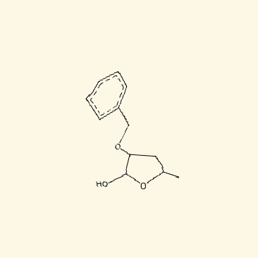 CC1CC(OCc2ccccc2)C(O)O1